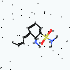 C\C=C/C=C1/C=CC=C(S(=O)(=O)N(C)C)/C1=N\C